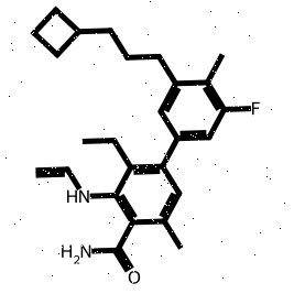 C=CNc1c(CC)c(-c2cc(F)c(C)c(CCCC3CCC3)c2)cc(C)c1C(N)=O